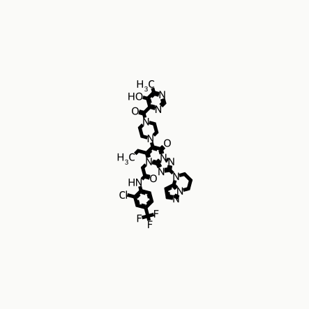 CCc1c(N2CCN(C(=O)c3ncnc(C)c3O)CC2)c(=O)n2nc(N3CCCn4nccc43)nc2n1CC(=O)Nc1ccc(C(F)(F)F)cc1Cl